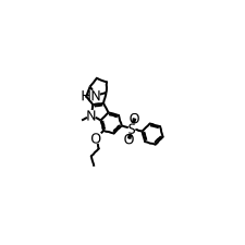 CCCOc1cc(S(=O)(=O)c2ccccc2)cc2c3c(n(C)c12)CC1CCC3N1